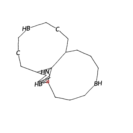 B1CCCCC23NCCCBCCCC2CCCBCCCC3CCC1